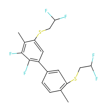 Cc1ccc(-c2cc(SCC(F)F)c(C)c(F)c2F)cc1SCC(F)F